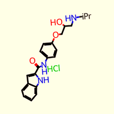 CC(C)NCC(O)COc1ccc(NC(=O)c2cc3ccccc3[nH]2)cc1.Cl